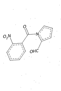 O=Cc1cccn1C(=O)c1ccccc1[N+](=O)[O-]